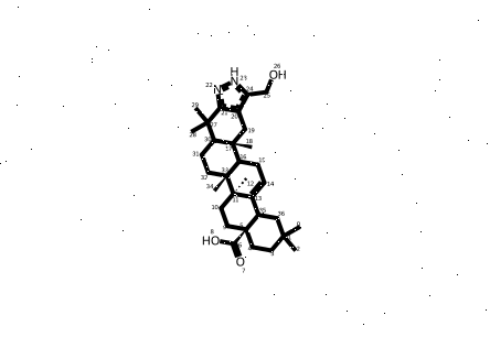 CC1(C)CC[C@]2(C(=O)O)CC[C@]3(C)C(=CCC4[C@@]5(C)Cc6c(n[nH]c6CO)C(C)(C)C5CC[C@]43C)C2C1